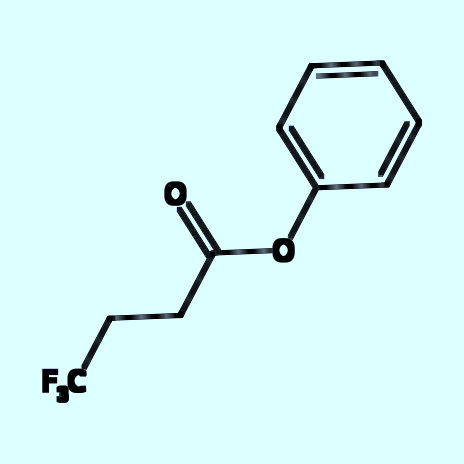 O=C(CCC(F)(F)F)Oc1ccccc1